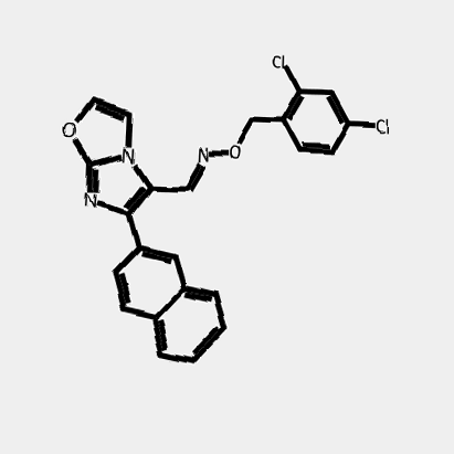 Clc1ccc(CO/N=C/c2c(-c3ccc4ccccc4c3)nc3occn23)c(Cl)c1